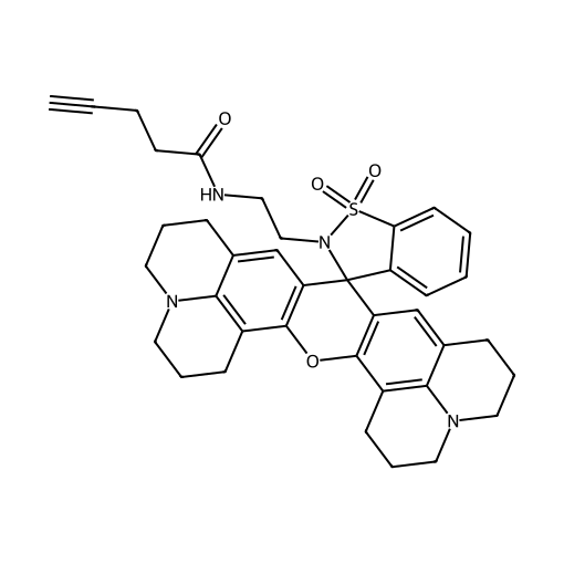 C#CCCC(=O)NCCN1C2(c3ccccc3S1(=O)=O)c1cc3c4c(c1Oc1c2cc2c5c1CCCN5CCC2)CCCN4CCC3